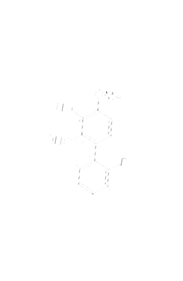 COc1ccc(-c2ccccc2F)c(C=O)c1O